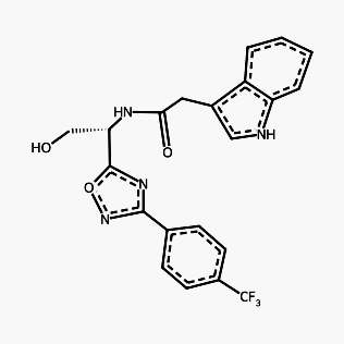 O=C(Cc1c[nH]c2ccccc12)N[C@@H](CO)c1nc(-c2ccc(C(F)(F)F)cc2)no1